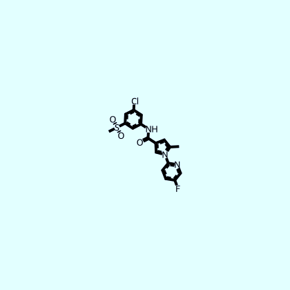 Cc1cc(C(=O)Nc2cc(Cl)cc(S(C)(=O)=O)c2)cn1-c1ccc(F)cn1